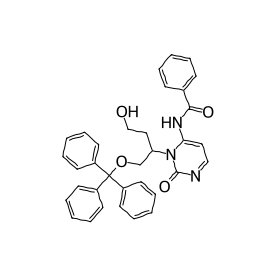 O=C(Nc1ccnc(=O)n1C(CCO)COC(c1ccccc1)(c1ccccc1)c1ccccc1)c1ccccc1